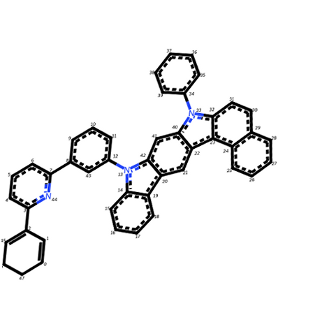 C1=CC(c2cccc(-c3cccc(-n4c5ccccc5c5cc6c7c8ccccc8ccc7n(-c7ccccc7)c6cc54)c3)n2)=CCC1